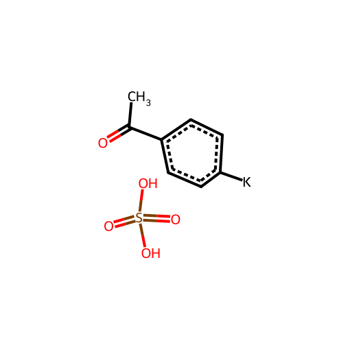 CC(=O)c1cc[c]([K])cc1.O=S(=O)(O)O